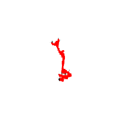 CC[N+]1=C(/C=C/C=C/C=C/C=C2/N(CCCS(=O)(=O)O)c3ccc(S(=O)(=O)O)cc3C2(C)C)C(C)(C)c2cc(S(=O)(=O)N(C)CCCC(=O)NCCCSSC[C@H](NC(=O)CCCNC(=O)[C@@H]3CCCN3C(=O)[C@@H]3CCCN3C(=O)[C@H](CCCNC(=N)N)NC(=O)[C@@H]3CCCN3C(=O)CN)C(N)=O)ccc21